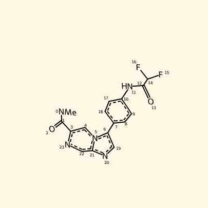 CNC(=O)c1cn2c(-c3ccc(NC(=O)C(F)F)cc3)cnc2cn1